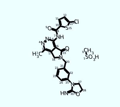 CS(=O)(=O)O.Cc1nnc(NC(=O)c2ccc(Cl)s2)c2c1CN(Cc1cccc(N3CCOC3=N)c1)C2=O